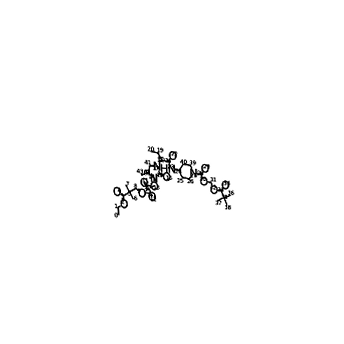 CCOC(=O)C(C)(C)COS(=O)(=O)ON1C(=O)N([C@@H](CC)C(=O)NC2CCN(C(=O)OCOC(=O)C(C)(C)C)CC2)C[C@@H]1C